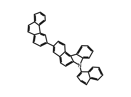 c1ccc2c(-n3c4ccccc4c4c5ccc(-c6ccc7ccc8ccccc8c7c6)cc5ccc43)cccc2c1